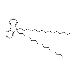 CCCCCCCCCCCCCCCC1(CCCCCCCCCCCCCCC)c2ccccc2-c2ccccc21